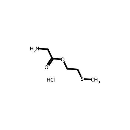 CSCCOC(=O)CN.Cl